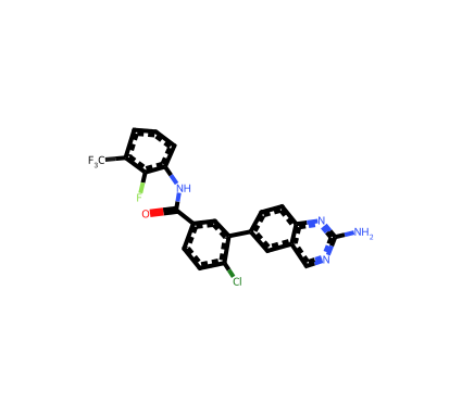 Nc1ncc2cc(-c3cc(C(=O)Nc4cccc(C(F)(F)F)c4F)ccc3Cl)ccc2n1